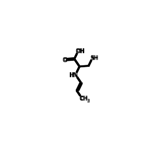 CC=CNC(CS)C(=O)O